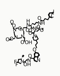 C#C[C@H]1CC(F)(F)CN1C(=O)CNC(=O)c1ccnc2ccc(OCCCC3CCN(C(=O)[C@H](CC(=O)OC)NC(=O)[C@H](CCCNC(=O)CCCc4ccc(I)cc4)NC(=O)CN4CCN(COC=O)CCN(COC=O)CCN(CC(=O)O)CC4)CC3)cc12